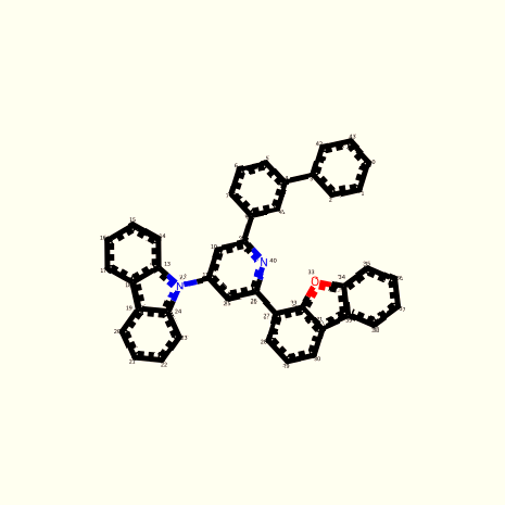 c1ccc(-c2cccc(-c3cc(-n4c5ccccc5c5ccccc54)cc(-c4cccc5c4oc4ccccc45)n3)c2)cc1